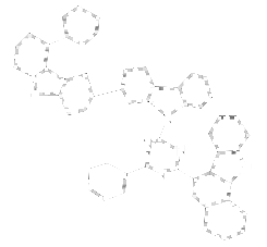 C1=CCCC(c2nc(-c3cc4ccccc4c4oc5ccccc5c34)nc(-n3c4ccccc4c4ccc(-c5ccc6oc7cccc(-c8ccccc8)c7c6c5)cc43)n2)=C1